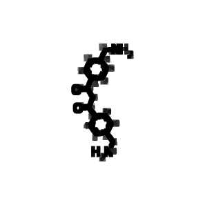 NCc1ccc(C(=O)CC(=O)c2ccc(CN)cc2)cc1